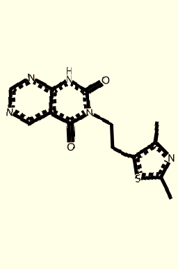 Cc1nc(C)c(CCn2c(=O)[nH]c3ncncc3c2=O)s1